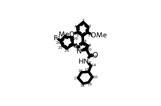 COc1cccc(OC)c1-c1cc(C(=O)NCC2CCCCC2)nn1-c1ccc(F)cc1